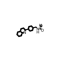 O=[SH](=O)NCc1ccc(-c2ccc3ccccc3n2)cc1